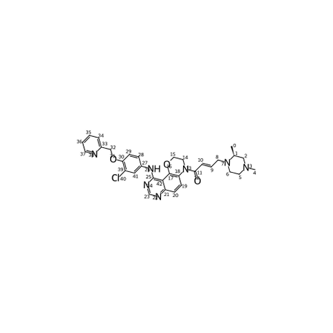 C[C@H]1CN(C)CCN1C/C=C/C(=O)N1CCOc2c1ccc1ncnc(Nc3ccc(OCc4ccccn4)c(Cl)c3)c21